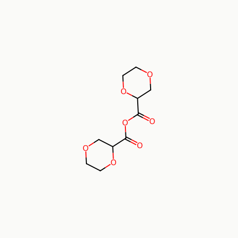 O=C(OC(=O)C1COCCO1)C1COCCO1